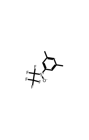 Cc1[c]c(C)cc([S+]([O-])C(F)(F)C(F)(F)F)c1